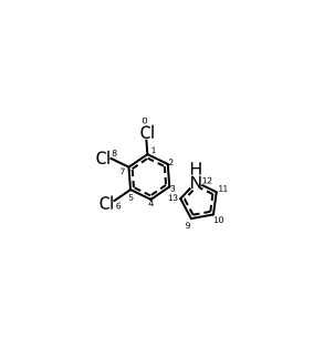 Clc1cccc(Cl)c1Cl.c1cc[nH]c1